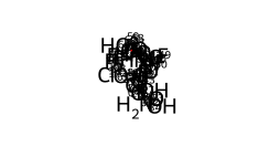 CCOc1cc(Oc2ccc(C(F)(F)F)cc2Cl)ccc1[N+](=O)[O-].CP(=O)(O)CCC(N)C(=O)O.O=C(Nc1nc(OC(F)F)cc(OC(F)F)n1)NS(=O)(=O)c1ccccc1C(=O)O